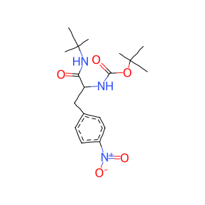 CC(C)(C)NC(=O)C(Cc1ccc([N+](=O)[O-])cc1)NC(=O)OC(C)(C)C